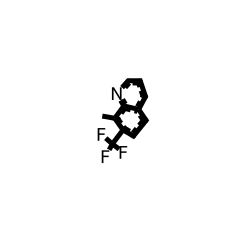 Cc1c(C(F)(F)F)ccc2cccnc12